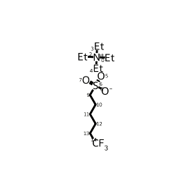 CC[N+](CC)(CC)CC.O=S(=O)([O-])CCCCCC(F)(F)F